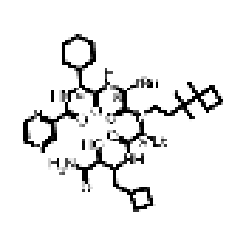 CC[C@@H](C(=O)NC(CC1CCC1)C(O)C(N)=O)N(CCC(C)(C)C1(C)CCC1)C(=O)[C@@H](NC(=O)[C@@H](NC(=O)c1cnccn1)C1CCCCC1)C(C)(C)C